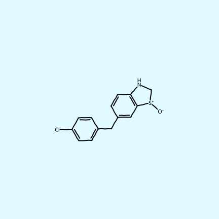 [O-][S+]1CNc2ccc(Cc3ccc(Cl)cc3)cc21